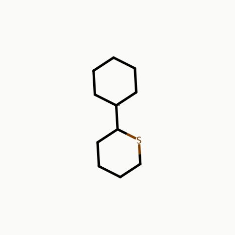 C1CC[C](C2CCCCS2)CC1